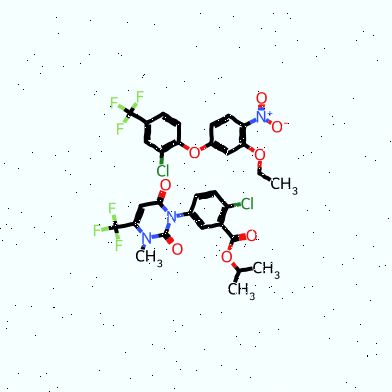 CC(C)OC(=O)c1cc(-n2c(=O)cc(C(F)(F)F)n(C)c2=O)ccc1Cl.CCOc1cc(Oc2ccc(C(F)(F)F)cc2Cl)ccc1[N+](=O)[O-]